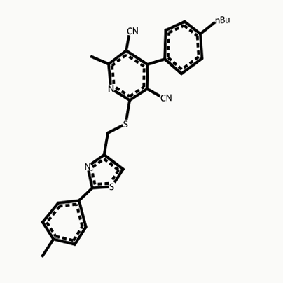 CCCCc1ccc(-c2c(C#N)c(C)nc(SCc3csc(-c4ccc(C)cc4)n3)c2C#N)cc1